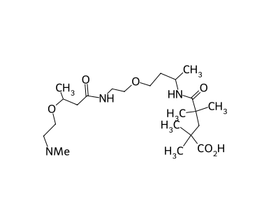 CNCCOC(C)CC(=O)NCCOCCC(C)NC(=O)C(C)(C)CC(C)(C)C(=O)O